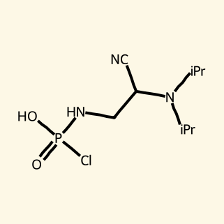 CC(C)N(C(C)C)C(C#N)CNP(=O)(O)Cl